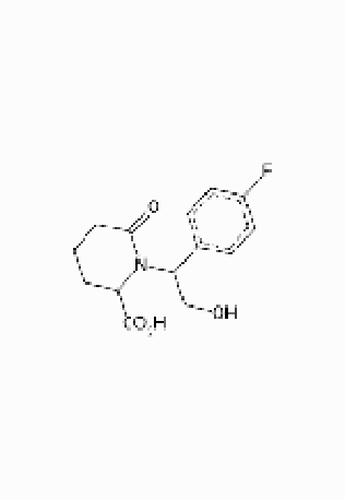 O=C(O)C1CCCC(=O)N1C(CO)c1ccc(F)cc1